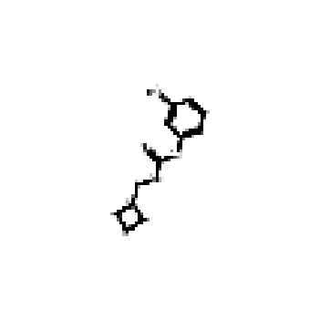 CC(C)(C)c1cccc(NC(=S)NCC2CCC2)c1